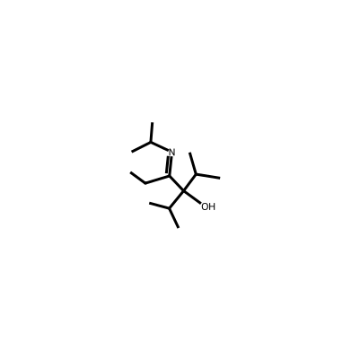 CCC(=NC(C)C)C(O)(C(C)C)C(C)C